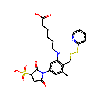 Cc1cc(N2C(=O)CC(S(=O)(=O)O)C2=O)cc(NCCCCCC(=O)O)c1CSSc1ccccn1